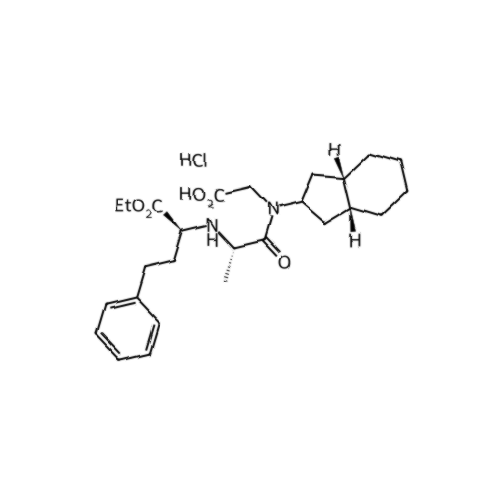 CCOC(=O)[C@H](CCc1ccccc1)N[C@@H](C)C(=O)N(CC(=O)O)C1C[C@H]2CCCC[C@H]2C1.Cl